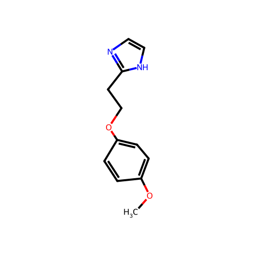 COc1ccc(OCCc2ncc[nH]2)cc1